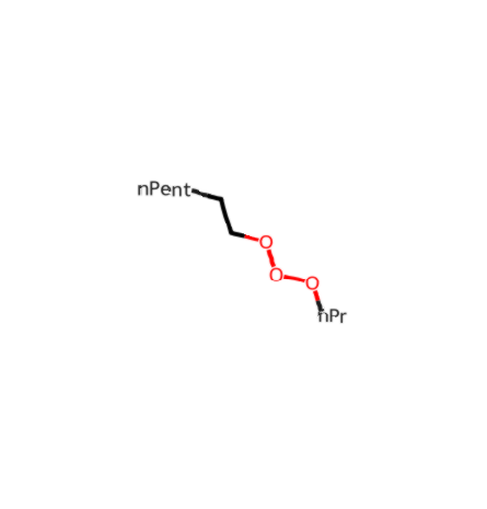 CCCCCCCOOOCCC